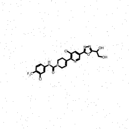 O=C(Nc1ccc(C(F)(F)F)c(Cl)c1)N1CC=C(c2ncc(-c3nnc(C(O)CO)o3)cc2Cl)CC1